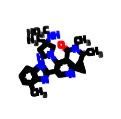 Cc1cccc2[nH]c(-c3cncc(C(=O)N(C)[C@@H](C)C4CC4)c3N3CC[C@](C)(NC(=O)O)C3)nc12